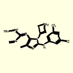 C=N/C(=N\c1c(C)nc(Nc2cc(Cl)cc(C(F)(F)F)c2)n1C1CNC1)NC(C)(C)C